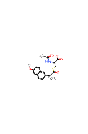 COc1ccc2cc([C@@H](C)C(=O)SC[C@H](NC(C)=O)C(=O)O)ccc2c1